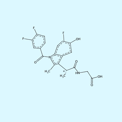 Cc1c([C@@H](C)C(=O)NCC(=O)O)c2cc(O)c(F)cc2n1C(=O)c1ccc(F)c(F)c1